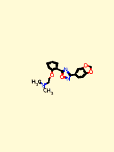 CN(C)CCOc1ccccc1-c1nc(-c2ccc3c(c2)OCO3)no1